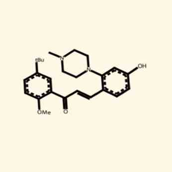 COc1ccc(C(C)(C)C)cc1C(=O)C=Cc1ccc(O)cc1N1CCN(C)CC1